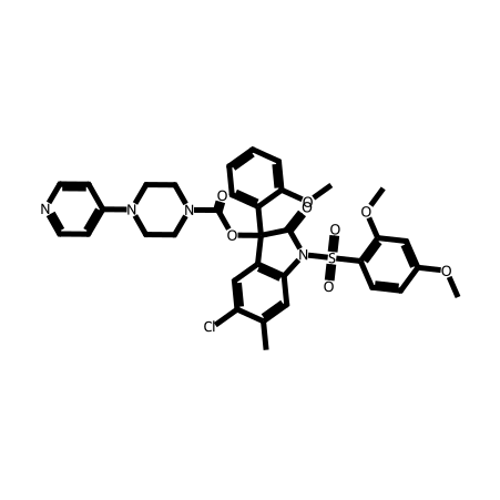 COc1ccc(S(=O)(=O)N2C(=O)C(OC(=O)N3CCN(c4ccncc4)CC3)(c3ccccc3OC)c3cc(Cl)c(C)cc32)c(OC)c1